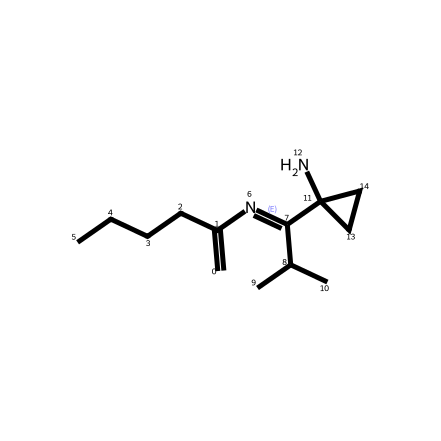 C=C(CCCC)/N=C(\C(C)C)C1(N)CC1